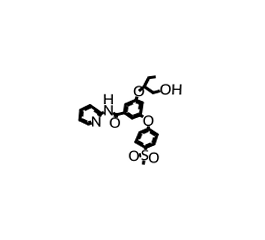 CCC(CO)Oc1cc(Oc2ccc(S(C)(=O)=O)cc2)cc(C(=O)Nc2ccccn2)c1